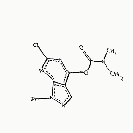 CC(C)n1ncc2c(OC(=O)N(C)C)nc(Cl)nc21